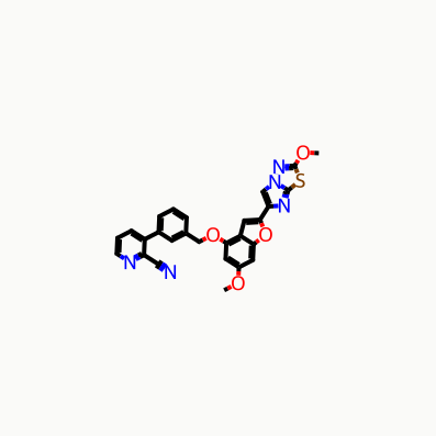 COc1cc(OCc2cccc(-c3cccnc3C#N)c2)c2cc(-c3cn4nc(OC)sc4n3)oc2c1